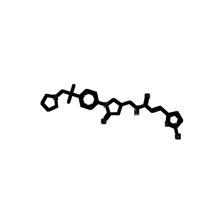 CC(C)(CN1CCCC1)c1ccc(N2CC(CNC(=O)/C=C/c3ccc(Cl)s3)CC2=O)cc1